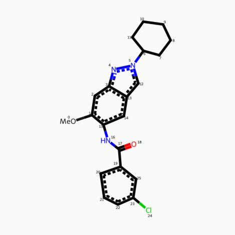 COc1cc2nn(C3CCCCC3)cc2cc1NC(=O)c1cccc(Cl)c1